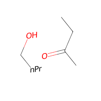 CCC(C)=O.CCCCO